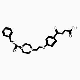 O=C(O)CCC(=O)c1ccc(OCCN2CCN(C(=O)OCc3ccccc3)CC2)cc1